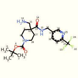 CC(C)(C)OC(=O)N1CCC(CN)(C(=O)NCc2ccc(C(F)(F)F)nc2)CC1